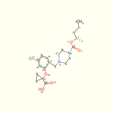 CCCC(F)OC(=O)N1CCN(Cc2ccc(Cl)cc2OC2(C(=O)O)CC2)CC1